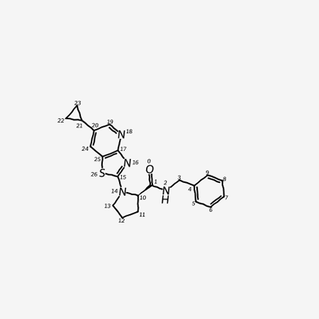 O=C(NCc1ccccc1)[C@H]1CCCN1c1nc2ncc(C3CC3)cc2s1